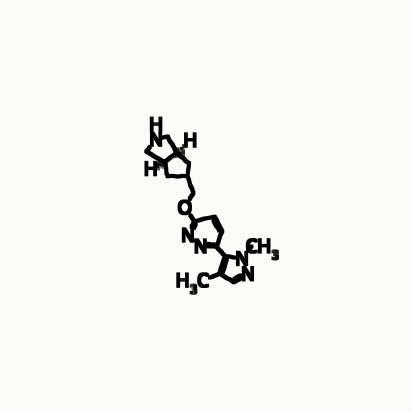 Cc1cnn(C)c1-c1ccc(OCC2C[C@H]3CNC[C@H]3C2)nn1